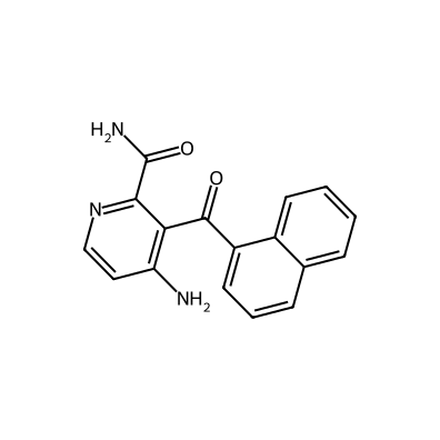 NC(=O)c1nccc(N)c1C(=O)c1cccc2ccccc12